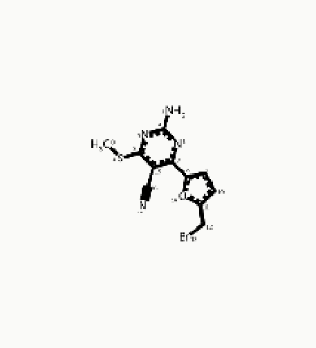 CSc1nc(N)nc(-c2ccc(CBr)o2)c1C#N